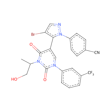 CC(CO)n1c(=O)c(-c2c(Br)cnn2-c2ccc(C#N)cc2)cn(-c2cccc(C(F)(F)F)c2)c1=O